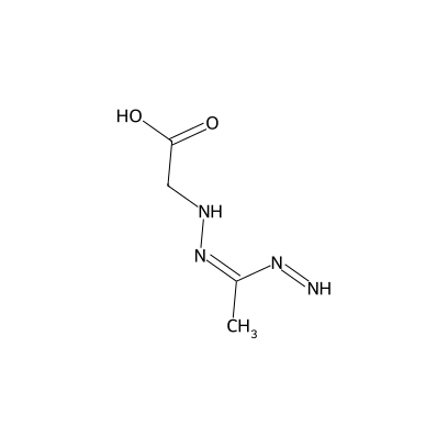 C/C(N=N)=N/NCC(=O)O